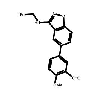 COc1ccc(-c2ccc3onc(NCC(C)(C)C)c3c2)cc1C=O